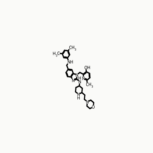 Cc1cc(C)cc(NCc2ccc3nc(NC4CCNC(CCN5CCOCC5)C4)n(Cc4nc(C)ccc4O)c3c2)c1